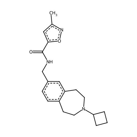 Cc1cc(C(=O)NCc2ccc3c(c2)CCN(C2CCC2)CC3)on1